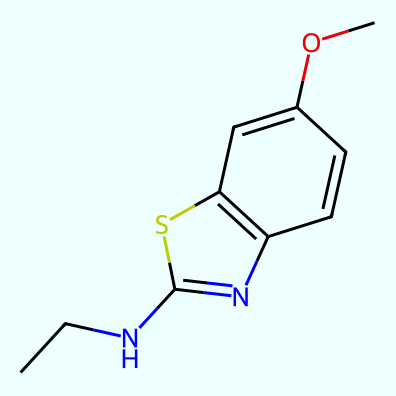 CCNc1nc2ccc(OC)cc2s1